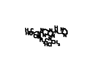 CN(C)c1nc(NCc2ncccn2)nc2cnc(NCC(C)(C)O)nc12.Cl